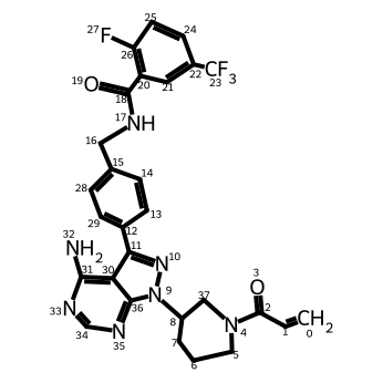 C=CC(=O)N1CCCC(n2nc(-c3ccc(CNC(=O)c4cc(C(F)(F)F)ccc4F)cc3)c3c(N)ncnc32)C1